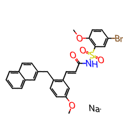 COc1ccc(Cc2ccc3ccccc3c2)c(C=CC(=O)NS(=O)(=O)c2cc(Br)ccc2OC)c1.[Na]